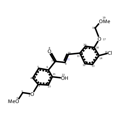 COCOc1ccc(C(=O)/C=C/c2ccc(Cl)c(OCOC)c2)c(O)c1